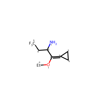 CCOC(=C1CC1)C(N)CC(F)(F)F